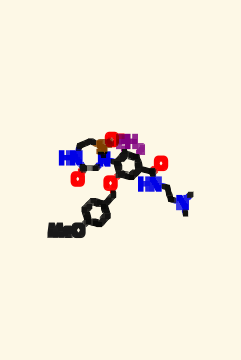 COc1ccc(COc2cc(C(=O)NCCN(C)C)cc(P)c2N2CC(=O)NCC[S+]2[O-])cc1